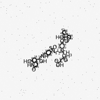 CN(CCCn1c(=O)sc2cc(CNC[C@H](O)c3ccc(O)c4[nH]c(=O)ccc34)ccc21)[C@H]1CC[C@H](OC(=O)C(O)(c2cccs2)c2cccs2)CC1.O=C(O)C=CC(=O)O